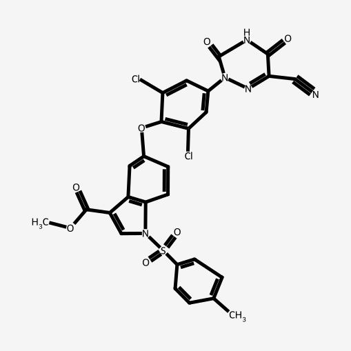 COC(=O)c1cn(S(=O)(=O)c2ccc(C)cc2)c2ccc(Oc3c(Cl)cc(-n4nc(C#N)c(=O)[nH]c4=O)cc3Cl)cc12